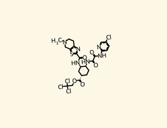 CN1CCc2nc(C(=O)N[C@@H]3C[C@@H](C(=O)OCC(Cl)(Cl)Cl)CC[C@@H]3NC(=O)C(=O)Nc3ccc(Cl)cn3)sc2C1